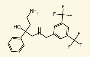 NCCC(O)(CNCc1cc(C(F)(F)F)cc(C(F)(F)F)c1)c1ccccc1